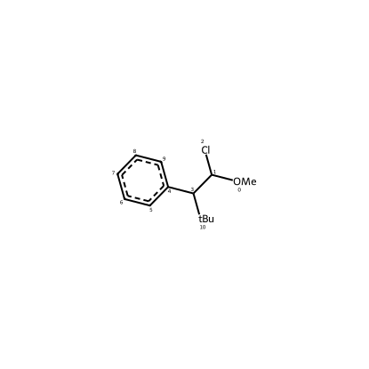 COC(Cl)C(c1ccccc1)C(C)(C)C